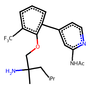 CC(=O)Nc1cc(-c2cccc(C(F)(F)F)c2OCC(C)(N)CC(C)C)ccn1